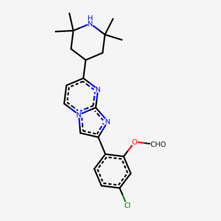 CC1(C)CC(c2ccn3cc(-c4ccc(Cl)cc4OC=O)nc3n2)CC(C)(C)N1